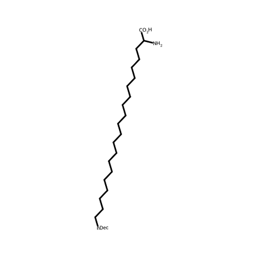 CCCCCCCCCCCCCCCCCCCCCCCCCCCCCC(N)C(=O)O